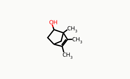 CC1=C(C)C2(C)CC1CC2O